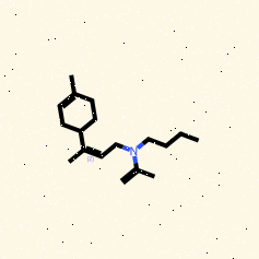 C=C(C)N(C/C=C(/C)C1CC=C(C)CC1)CCCC